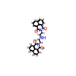 O=C1c2cccc3cccc(c23)C(=O)N1CCNCCN1C(=O)c2cccc3cccc(c23)C1=O